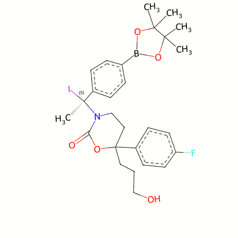 CC1(C)OB(c2ccc([C@](C)(I)N3CCC(CCCO)(c4ccc(F)cc4)OC3=O)cc2)OC1(C)C